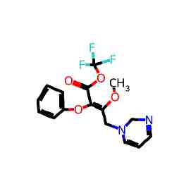 COC(CN1C=CC=NC1)=C(Oc1ccccc1)C(=O)OC(F)(F)F